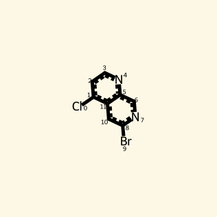 Clc1ccnc2cnc(Br)cc12